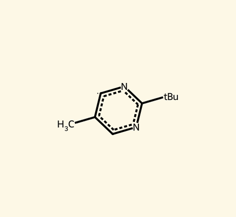 Cc1[c]nc(C(C)(C)C)nc1